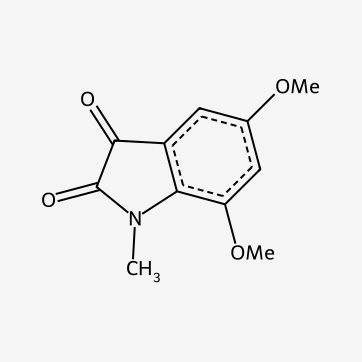 COc1cc(OC)c2c(c1)C(=O)C(=O)N2C